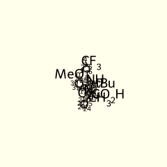 COc1cc(C(F)(F)F)ccc1CN[C@H]1[C@H](C(C)(C)C)[C@@H](C(=O)O)N(C(=O)[C@H](C)c2ccccc2)[C@H]1c1ccccc1